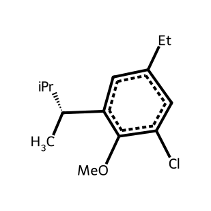 CCc1cc(Cl)c(OC)c([C@H](C)C(C)C)c1